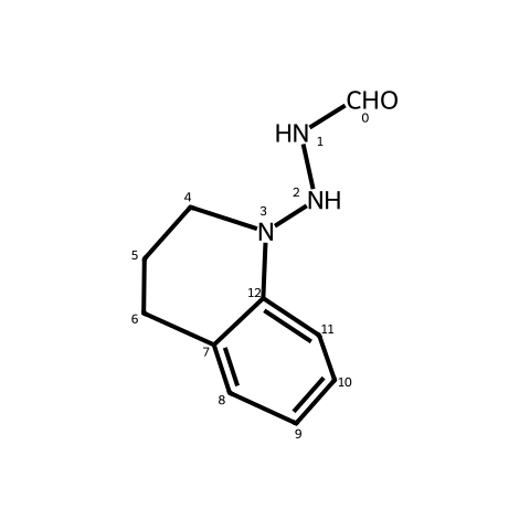 O=CNNN1CCCc2ccccc21